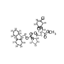 COC(=O)[C@@](CO)(CC(=O)[C@@H]1CCCN1C(=O)OCC1c2ccccc2-c2ccccc21)Cc1cccc(Cl)c1